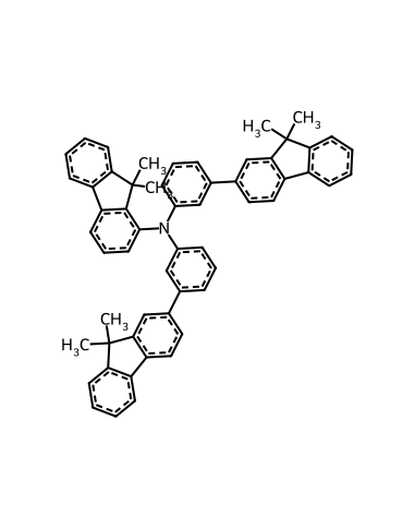 CC1(C)c2ccccc2-c2ccc(-c3cccc(N(c4cccc(-c5ccc6c(c5)C(C)(C)c5ccccc5-6)c4)c4cccc5c4C(C)(C)c4ccccc4-5)c3)cc21